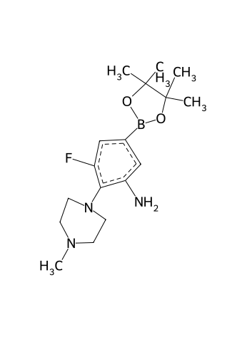 CN1CCN(c2c(N)cc(B3OC(C)(C)C(C)(C)O3)cc2F)CC1